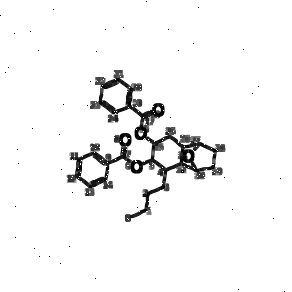 CCCCC1C(OC(=O)c2ccccc2)C(OC(=O)c2ccccc2)CC2C3CCC(O3)C21